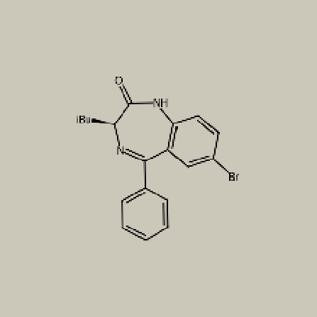 CCC(C)[C@@H]1N=C(c2ccccc2)c2cc(Br)ccc2NC1=O